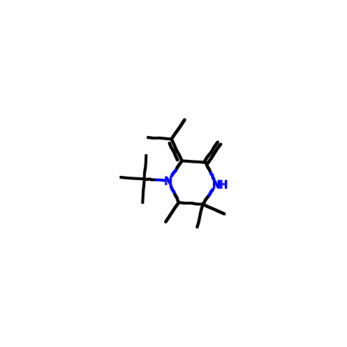 C=C1NC(C)(C)C(C)N(C(C)(C)C)C1=C(C)C